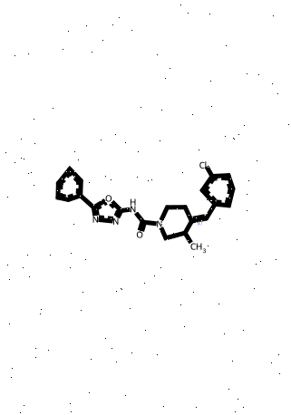 CC1CN(C(=O)Nc2nnc(-c3ccccc3)o2)CC/C1=C\c1cccc(Cl)c1